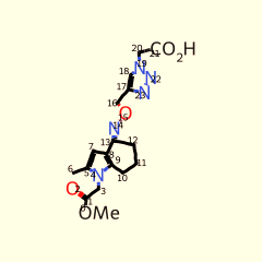 COC(=O)Cn1c(C)cc2c1CCCC2=NOCc1cn(CC(=O)O)nn1